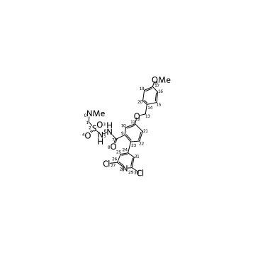 CNCS(=O)(=O)NNC(=O)c1cc(OCc2ccc(OC)cc2)ccc1-c1cc(Cl)nc(Cl)c1